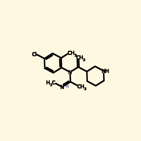 C=C(C1CCCNC1)N(/C(C)=N\C)c1ccc(Cl)cc1C